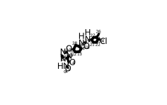 CONC(=O)c1ncnc(Oc2cccc(NC(=O)Nc3ccc(Cl)c(C)c3)c2)n1